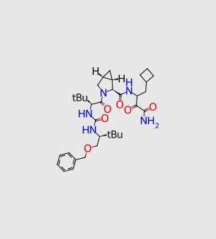 CC(C)(C)[C@H](NC(=O)N[C@H](COCc1ccccc1)C(C)(C)C)C(=O)N1C[C@@H]2C[C@@H]2[C@H]1C(=O)NC(CC1CCC1)C(=O)C(N)=O